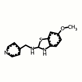 COc1ccc2c(c1)SC(NCc1ccncc1)N2